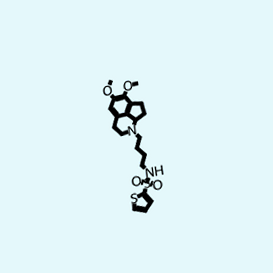 COc1cc2c3c(c1OC)CCC3N(CCCCNS(=O)(=O)c1cccs1)CC2